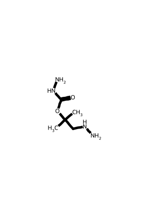 CC(C)(CNN)OC(=O)NN